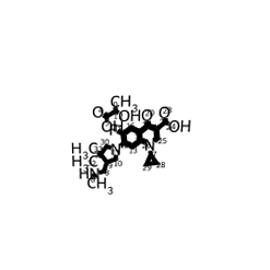 CC(O)C(=O)O.CNCC1CN(c2cc3c(cc2F)c(=O)c(C(=O)O)cn3C2CC2)CC1(C)C